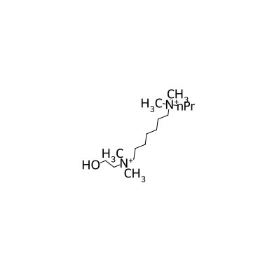 CCC[N+](C)(C)CCCCCCC[N+](C)(C)CCO